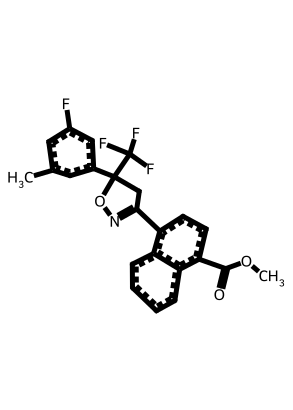 COC(=O)c1ccc(C2=NOC(c3cc(C)cc(F)c3)(C(F)(F)F)C2)c2ccccc12